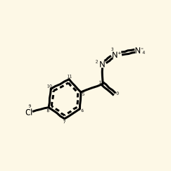 C=C(N=[N+]=[N-])c1ccc(Cl)cc1